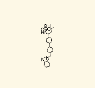 CCCC(NS(=O)(=O)O)c1ccc(-c2ccc(Cn3cnc4ccccc43)cc2)cc1